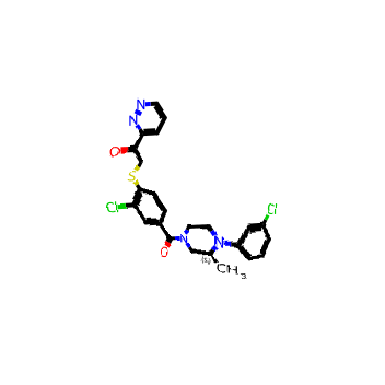 C[C@H]1CN(C(=O)c2ccc(SCC(=O)c3cccnn3)c(Cl)c2)CCN1c1cccc(Cl)c1